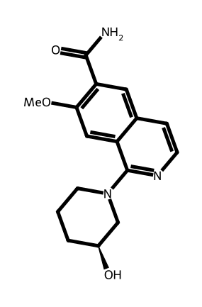 COc1cc2c(N3CCC[C@H](O)C3)nccc2cc1C(N)=O